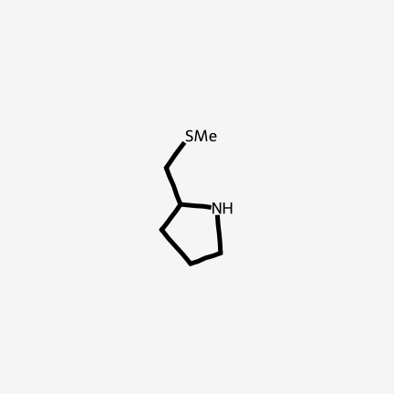 CSCC1CCCN1